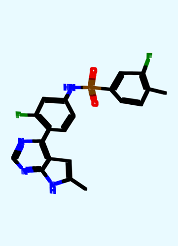 Cc1cc2c(-c3ccc(NS(=O)(=O)c4ccc(C)c(F)c4)cc3F)ncnc2[nH]1